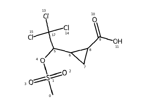 CS(=O)(=O)OC(C1CC1C(=O)O)C(Cl)(Cl)Cl